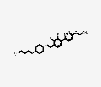 CCCCC[C@H]1CC[C@H](CCc2ccc(-c3ccc(OCC)nn3)c(F)c2F)CC1